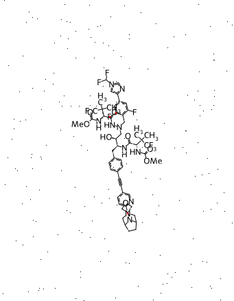 COC(=O)N[C@H](C(=O)N[C@@H](Cc1ccc(C#Cc2ccc(N3CC4CCC(C3)N4C3COC3)nc2)cc1)[C@@H](O)CN(Cc1c(F)cc(-c2cn(C(F)F)cn2)cc1F)NC(=O)[C@@H](NC(=O)OC)C(C)(C)C(F)(F)F)C(C)(C)C(F)(F)F